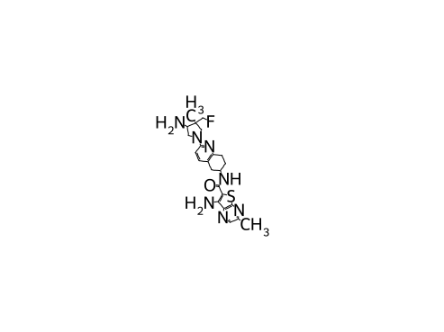 Cc1cnc2c(N)c(C(=O)NC3CCc4nc(N5CC(N)C(C)(CF)C5)ccc4C3)sc2n1